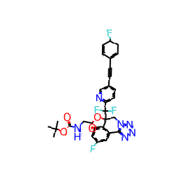 CC(C)(C)OC(=O)NCC(=O)OC1(C(F)(F)c2ccc(C#CC3=CCC(F)C=C3)cn2)Cn2nnnc2-c2cc(F)ccc21